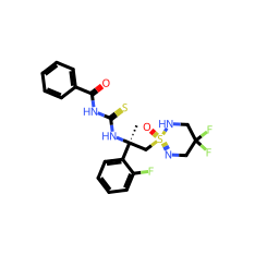 C[C@@](CS1(=O)=NCC(F)(F)CN1)(NC(=S)NC(=O)c1ccccc1)c1ccccc1F